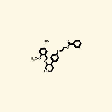 Br.COc1ccccc1COC1CNCCC1c1ccc(OCCOC(=O)c2ccccc2)cc1